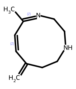 C=C1/C=C\C(C)=N/CCNCC1